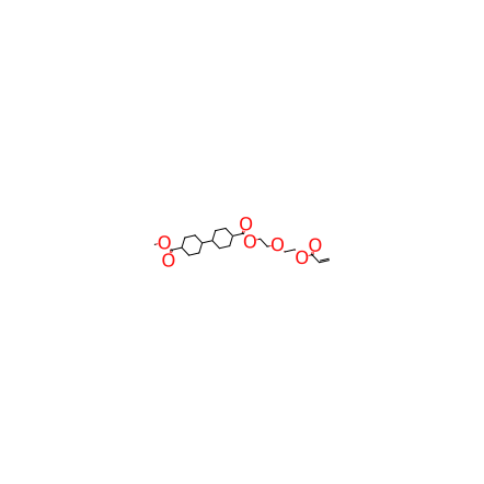 C=CC(=O)OCCOCCOC(=O)C1CCC(C2CCC(C(=O)OC)CC2)CC1